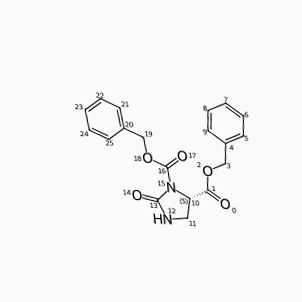 O=C(OCc1ccccc1)[C@@H]1CNC(=O)N1C(=O)OCc1ccccc1